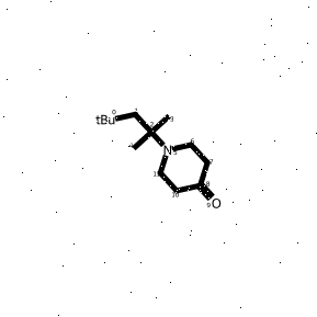 CC(C)(C)CC(C)(C)N1CCC(=O)CC1